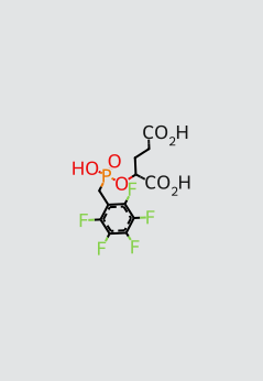 O=C(O)CCC(OP(=O)(O)Cc1c(F)c(F)c(F)c(F)c1F)C(=O)O